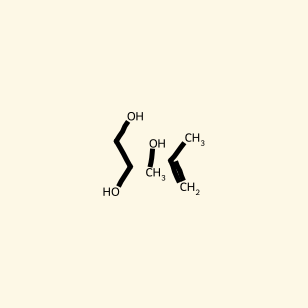 C=CC.CO.OCCO